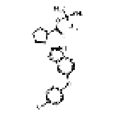 CC(C)(C)OC(=O)N1CCC[C@H]1c1nc2cc(Oc3ccc(Br)cc3)ccc2[nH]1